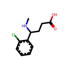 CNC(CCC(=O)O)c1ccccc1Cl